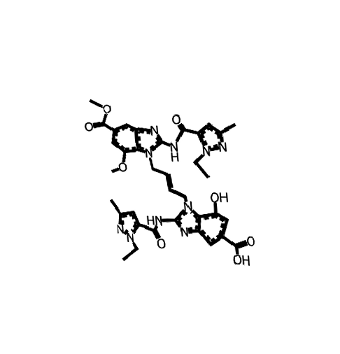 CCn1nc(C)cc1C(=O)Nc1nc2cc(C(=O)O)cc(O)c2n1C/C=C/Cn1c(NC(=O)c2cc(C)nn2CC)nc2cc(C(=O)OC)cc(OC)c21